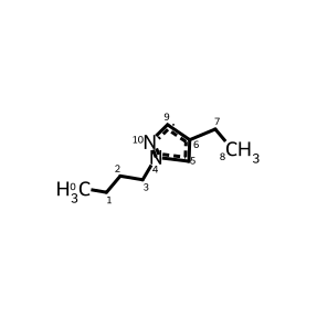 CCCCn1cc(CC)[c]n1